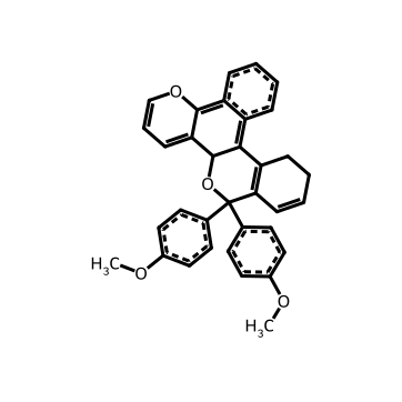 COc1ccc(C2(c3ccc(OC)cc3)OC3C4=CC=COC4=c4ccccc4=C3C3=C2C=CCC3)cc1